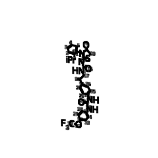 CC(C)c1ccccc1N1C(=O)CSC1=NC(=O)NCCc1ccc(NC(=O)Nc2ccc(OC(F)(F)F)cc2)cc1